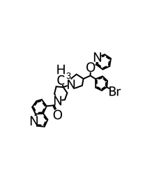 CC1(N2CCC(C(Oc3ccccn3)c3ccc(Br)cc3)CC2)CCN(C(=O)c2cccc3ncccc23)CC1